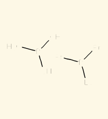 CCP(CC)CC.CP(C)C